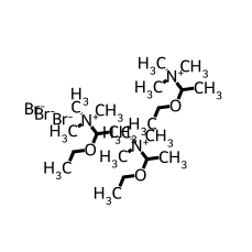 CCOC(C)[N+](C)(C)C.CCOC(C)[N+](C)(C)C.CCOC(C)[N+](C)(C)C.[Br-].[Br-].[Br-]